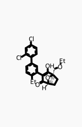 CCOC[C@]12CC[C@H](O1)C(=O)C(c1cc(-c3ccc(Cl)cc3Cl)ccc1CC)=C2O